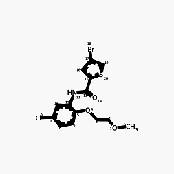 COCCOc1ccc(Cl)cc1NC(=O)c1cc(Br)cs1